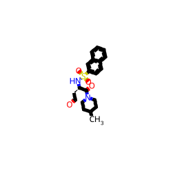 CC1CCN(C(=O)[C@H](CC=O)NS(=O)(=O)c2ccc3ccccc3c2)CC1